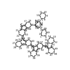 c1ccc(-c2nc(-c3ccccc3)nc(-c3ccc4sc5ccc(-n6c7ccccc7c7cc(-n8c9ccccc9c9cc(-n%10c%11ccccc%11c%11ccccc%11%10)ccc98)ccc76)cc5c4c3)n2)cc1